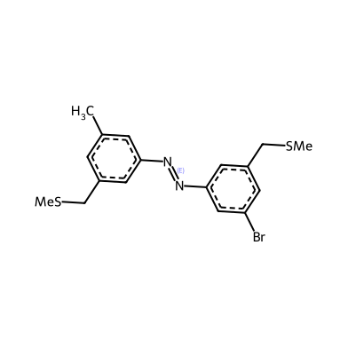 CSCc1cc(C)cc(/N=N/c2cc(Br)cc(CSC)c2)c1